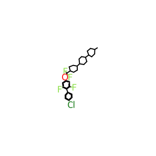 CC1CCC(C2CCC(C3CCC(C(F)(F)Oc4cc(F)c(-c5ccc(Cl)cc5)c(F)c4)CC3)CC2)CC1